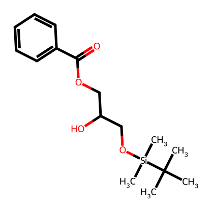 CC(C)(C)[Si](C)(C)OCC(O)COC(=O)c1ccccc1